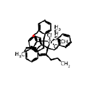 CCCC1=Cc2ccccc2[C]1(Cc1ccccc1)[Zr]([Cl])([Cl])([SiH](C)C)[C]1(Cc2ccccc2)C(CCC)=Cc2ccccc21